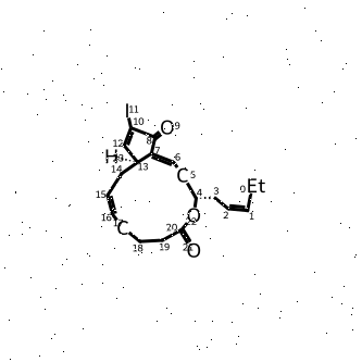 CC/C=C\C[C@H]1C/C=C2/C(=O)C(I)=C[C@@H]2C/C=C\CCCC(=O)O1